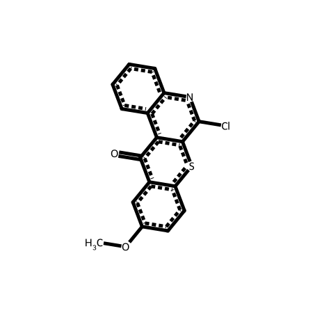 COc1ccc2sc3c(Cl)nc4ccccc4c3c(=O)c2c1